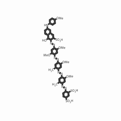 COc1ccc(Nc2ccc3c(O)c(N=Nc4cc(OC)c(N=Nc5cc(C)c(N=Nc6cc(C)c(N=Nc7ccc(S(=O)(=O)O)cc7S(=O)(=O)O)cc6OC)cc5OC)cc4OC)c(S(=O)(=O)O)cc3c2)cc1